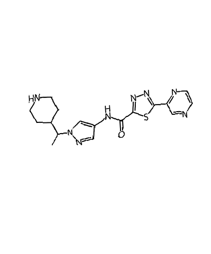 CC(C1CCNCC1)n1cc(NC(=O)c2nnc(-c3cnccn3)s2)cn1